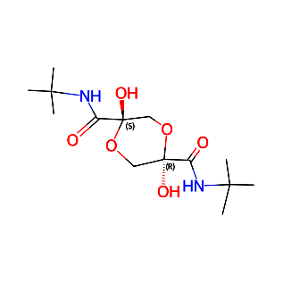 CC(C)(C)NC(=O)[C@@]1(O)CO[C@](O)(C(=O)NC(C)(C)C)CO1